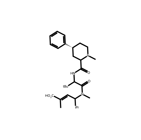 C/C(=C\C(C(C)C)N(C)C(=O)C(NC(=O)C1C[C@H](c2ccccc2)CCN1C)C(C)(C)C)C(=O)O